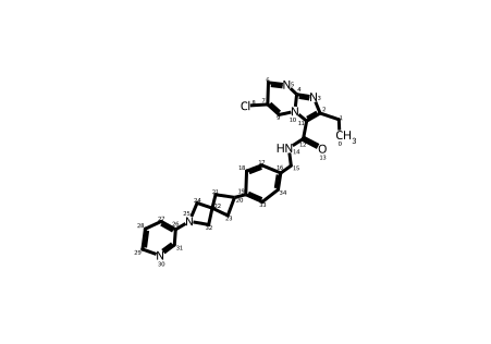 CCc1nc2ncc(Cl)cn2c1C(=O)NCc1ccc(C2CC3(C2)CN(c2cccnc2)C3)cc1